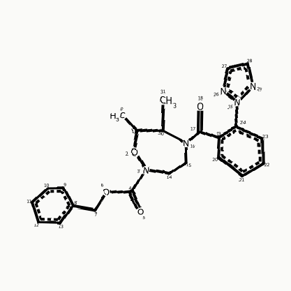 CC1ON(C(=O)OCc2ccccc2)CCN(C(=O)c2ccccc2-n2nccn2)C1C